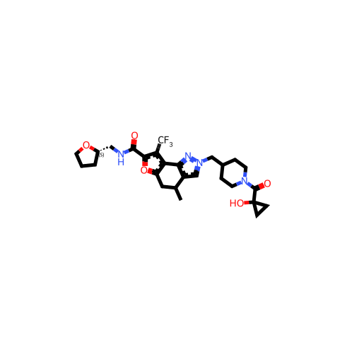 CC1Cc2oc(C(=O)NC[C@@H]3CCCO3)c(C(F)(F)F)c2-c2nn(CC3CCN(C(=O)C4(O)CC4)CC3)cc21